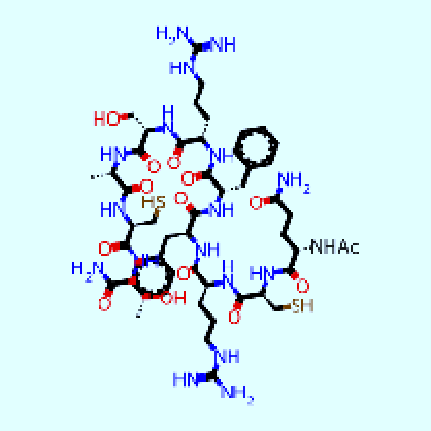 CC(=O)N[C@@H](CCC(N)=O)C(=O)N[C@@H](CS)C(=O)N[C@@H](CCCNC(=N)N)C(=O)N[C@@H](Cc1ccccc1)C(=O)N[C@@H](Cc1ccccc1)C(=O)N[C@@H](CCCNC(=N)N)C(=O)N[C@@H](CO)C(=O)N[C@@H](C)C(=O)N[C@@H](CS)C(=O)N[C@H](C(N)=O)[C@@H](C)O